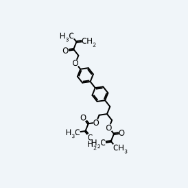 C=C(C)C(=O)COc1ccc(-c2ccc(CC(COC(=O)C(=C)C)COC(=O)C(=C)C)cc2)cc1